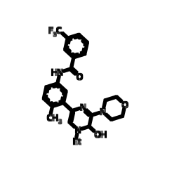 CCN1C=C(c2cc(NC(=O)c3cccc(C(F)(F)F)c3)ccc2C)N=C(N2CCOCC2)C1O